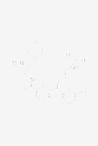 CN[C@@H](CNC(=O)c1cccc(C(OCCNC(=O)O)c2cccc(Cl)c2)c1)C[C@H]1CCCOC1.Cl